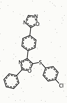 Clc1ccc(Sc2oc(-c3ccccc3)nc2-c2ccc(-c3ncno3)cc2)cc1